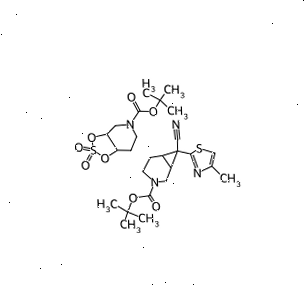 CC(C)(C)OC(=O)N1CCC2OS(=O)(=O)OC2C1.Cc1csc(C2(C#N)C3CCN(C(=O)OC(C)(C)C)CC32)n1